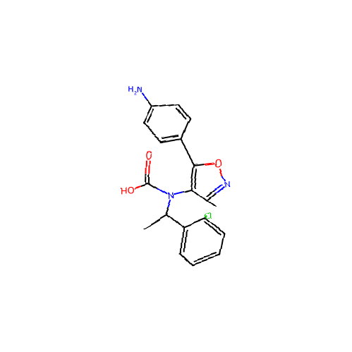 Cc1noc(-c2ccc(N)cc2)c1N(C(=O)O)C(C)c1ccccc1Cl